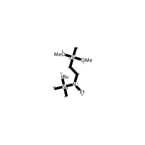 CCN(CC[Si](C)(OC)OC)[Si](C)(C)C(C)(C)C